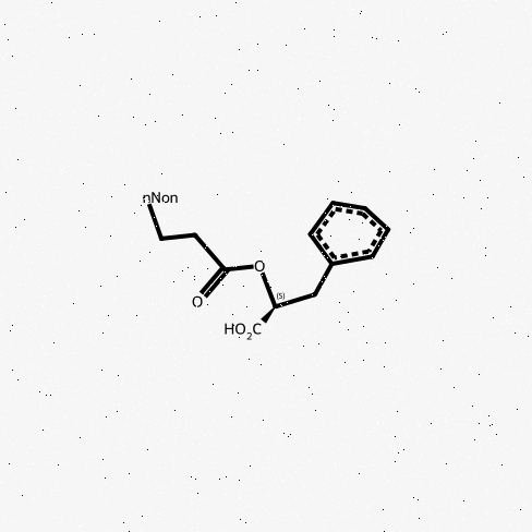 CCCCCCCCCCCC(=O)O[C@@H](Cc1ccccc1)C(=O)O